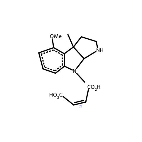 COc1cccc2c1C1(C)CCNC1N2C.O=C(O)/C=C\C(=O)O